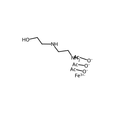 CC(=O)[O-].CC(=O)[O-].CC(=O)[O-].NCCNCCO.[Fe+3]